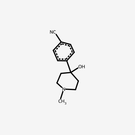 CN1CCC(O)(c2ccc(C#N)cc2)CC1